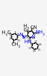 Cc1cc(C)cc(/N=N/c2c(Nc3ccccc3)nc(N)c(C#N)c2C)c1